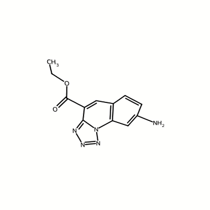 CCOC(=O)c1cc2ccc(N)cc2n2nnnc12